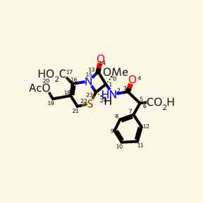 CO[C@@]1(NC(=O)C(C(=O)O)c2ccccc2)C(=O)N2C(C(=O)O)=C(COC(C)=O)CS[C@@H]21